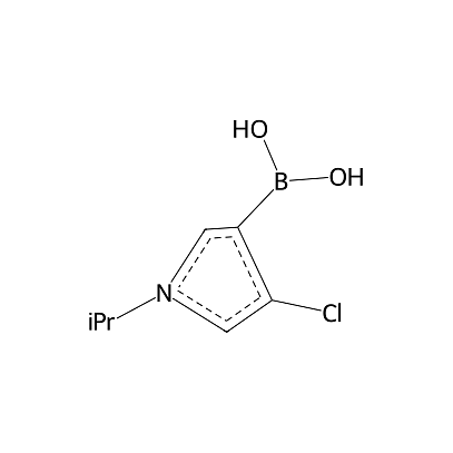 CC(C)n1cc(Cl)c(B(O)O)c1